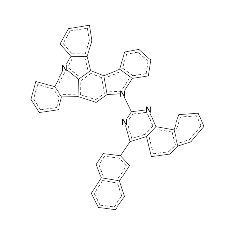 c1ccc2cc(-c3nc(-n4c5ccccc5c5c6c7ccccc7n7c8ccccc8c(cc54)c67)nc4c3ccc3ccccc34)ccc2c1